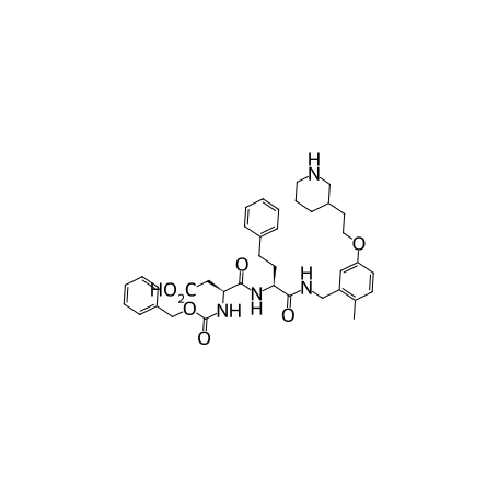 Cc1ccc(OCCC2CCCNC2)cc1CNC(=O)[C@H](CCc1ccccc1)NC(=O)[C@H](CC(=O)O)NC(=O)OCc1ccccc1